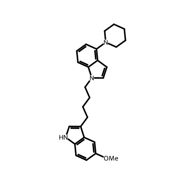 COc1ccc2[nH]cc(CCCCn3ccc4c(N5CCCCC5)cccc43)c2c1